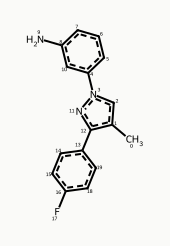 Cc1cn(-c2cccc(N)c2)nc1-c1ccc(F)cc1